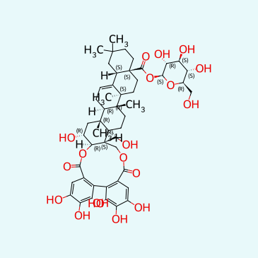 CC1(C)CC[C@]2(C(=O)O[C@@H]3O[C@H](CO)[C@@H](O)[C@H](O)[C@H]3O)CC[C@]3(C)C(=CC[C@@H]4[C@@]5(C)C[C@@H](O)[C@@H]6OC(=O)c7cc(O)c(O)c(O)c7-c7c(cc(O)c(O)c7O)C(=O)OC[C@@]6(CO)[C@@H]5CC[C@]43C)[C@@H]2C1